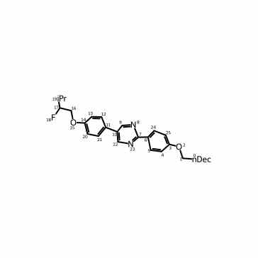 CCCCCCCCCCCOc1ccc(-c2ncc(-c3ccc(OCC(F)C(C)C)cc3)cn2)cc1